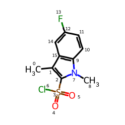 Cc1c(S(=O)(=O)Cl)n(C)c2ccc(F)cc12